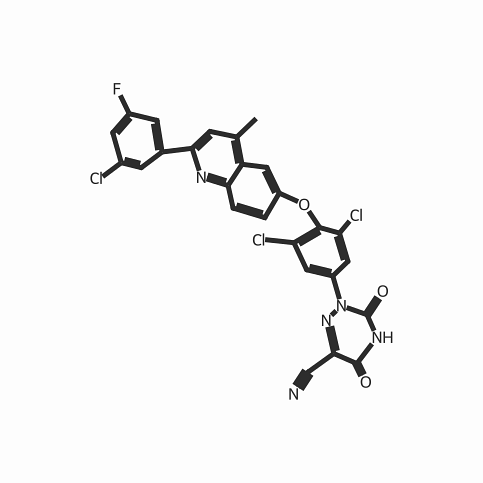 Cc1cc(-c2cc(F)cc(Cl)c2)nc2ccc(Oc3c(Cl)cc(-n4nc(C#N)c(=O)[nH]c4=O)cc3Cl)cc12